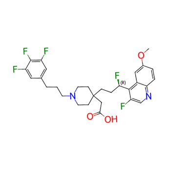 COc1ccc2ncc(F)c([C@H](F)CCC3(CC(=O)O)CCN(CCCc4cc(F)c(F)c(F)c4)CC3)c2c1